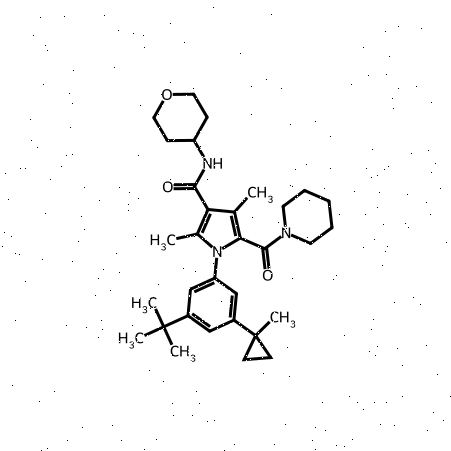 Cc1c(C(=O)NC2CCOCC2)c(C)n(-c2cc(C(C)(C)C)cc(C3(C)CC3)c2)c1C(=O)N1CCCCC1